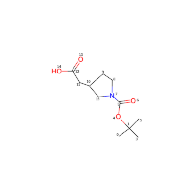 CC(C)(C)OC(=O)N1CCC(CC(=O)O)C1